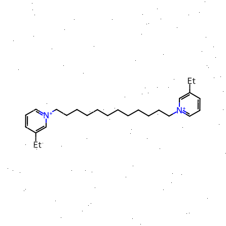 CCc1ccc[n+](CCCCCCCCCCCC[n+]2cccc(CC)c2)c1